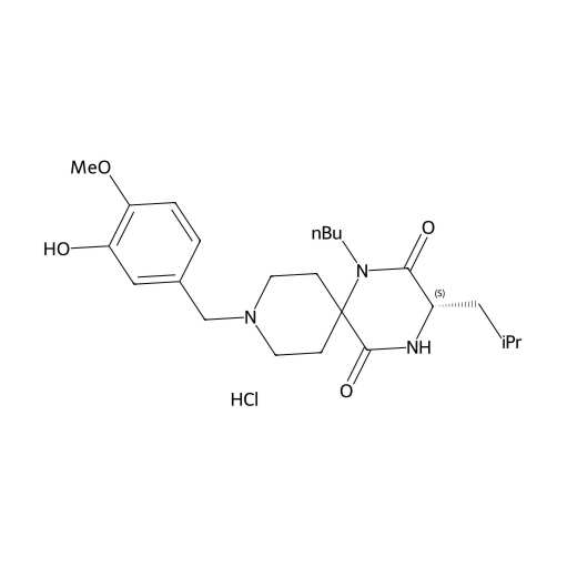 CCCCN1C(=O)[C@H](CC(C)C)NC(=O)C12CCN(Cc1ccc(OC)c(O)c1)CC2.Cl